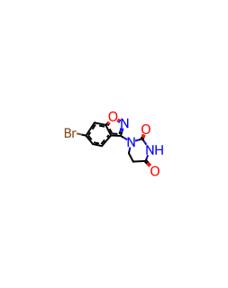 O=C1CCN(c2noc3cc(Br)ccc23)C(=O)N1